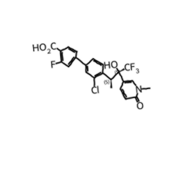 C[C@@H](c1ccc(-c2ccc(C(=O)O)c(F)c2)cc1Cl)[C@](O)(c1ccc(=O)n(C)c1)C(F)(F)F